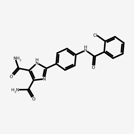 NC(=O)c1nc(-c2ccc(NC(=O)c3ccccc3Cl)cc2)[nH]c1C(N)=O